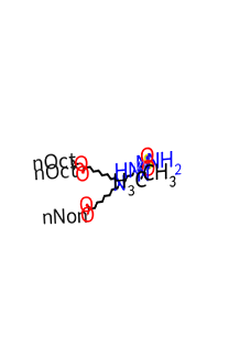 CCCCCCCCCOC(=O)CCCCCCCN(CCCCCCCC(=O)OC(CCCCCCCC)CCCCCCCC)CCCN/C(=N/S(N)(=O)=O)N(C)C